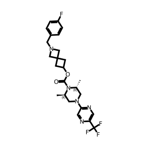 C[C@@H]1CN(c2cnc(C(F)(F)F)cn2)C[C@@H](C)N1C(=O)OC1CC2(C1)CN(Cc1ccc(F)cc1)C2